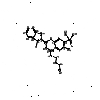 Cc1c(N(Cc2ccc(F)c(C(F)(F)F)c2)SNCCCC=O)sc2ccccc12